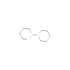 C1CCN([SiH]2CCCCO2)CC1